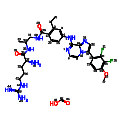 CCc1cc(Nc2nccn3c(-c4ccc(OC)c(F)c4F)cnc23)ccc1C(=O)NC[C@H](C)NC(=O)[C@@H](N)CCCNC(=N)N.O=CO